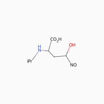 CC(C)NC(CC(O)N=O)C(=O)O